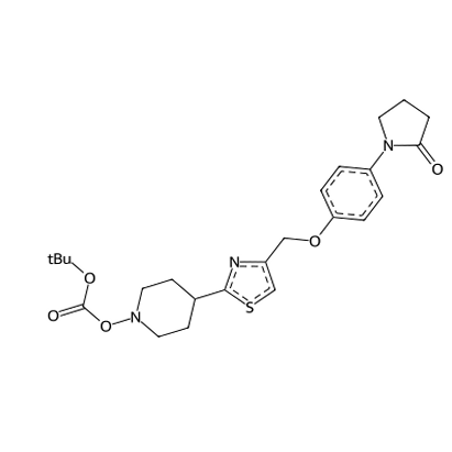 CC(C)(C)OC(=O)ON1CCC(c2nc(COc3ccc(N4CCCC4=O)cc3)cs2)CC1